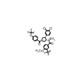 COc1ccc(C(=O)N(C)[C@@H]2CN(C(=O)c3ccc(OC(F)(F)F)cc3)C[C@H]2c2ccc(Cl)c(Cl)c2)cc1C(F)(F)F